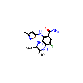 COC(N)C(C=O)Nc1cc(Nc2cc(C)ns2)c(C(N)=O)cc1F